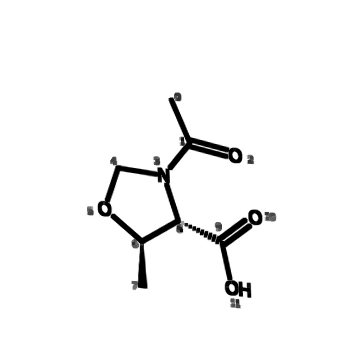 CC(=O)N1CO[C@H](C)[C@H]1C(=O)O